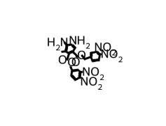 Cc1c(N)c(N)cc(C(=O)OCc2ccc([N+](=O)[O-])c([N+](=O)[O-])c2)c1C(=O)OCc1ccc([N+](=O)[O-])c([N+](=O)[O-])c1